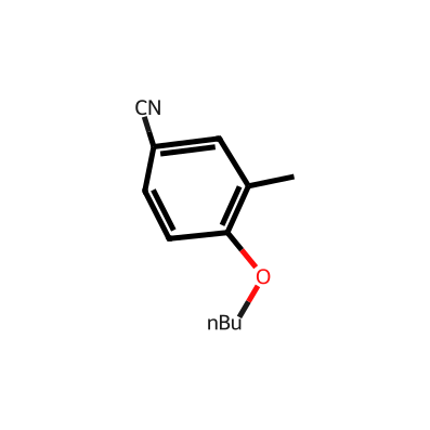 CCCCOc1ccc(C#N)cc1C